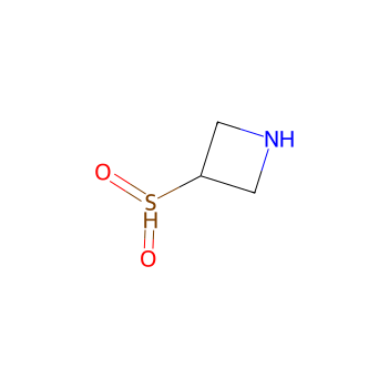 O=[SH](=O)C1CNC1